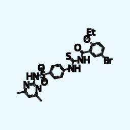 CCOc1ccc(Br)cc1C(=O)NC(=S)Nc1ccc(S(=O)(=O)Nc2nc(C)cc(C)n2)cc1